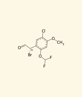 COc1cc(OC(F)F)c([C@H](Br)C=O)cc1Cl